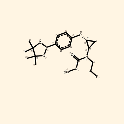 CC(C)(C)OC(=O)N(CCF)[C@@H]1C[C@H]1Oc1ccc(B2OC(C)(C)C(C)(C)O2)cc1